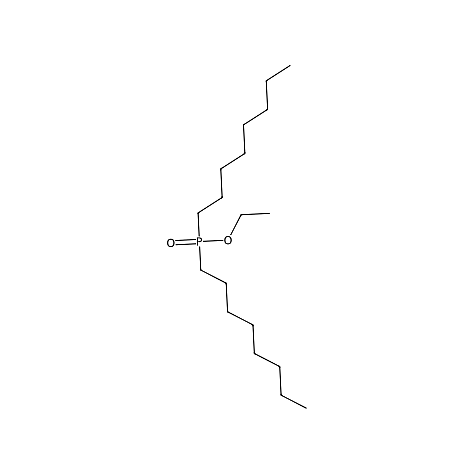 CCCCCCCCP(=O)(CCCCCCCC)OCC